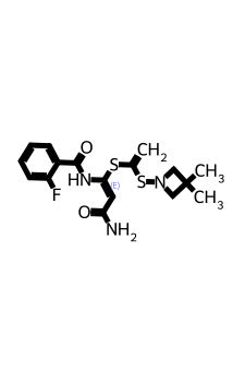 C=C(S/C(=C/C(N)=O)NC(=O)c1ccccc1F)SN1CC(C)(C)C1